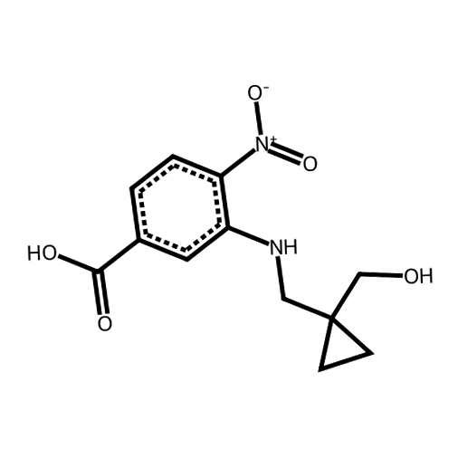 O=C(O)c1ccc([N+](=O)[O-])c(NCC2(CO)CC2)c1